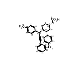 O=C(O)C[C@H]1CCN([C@@H](C#Cc2ccccc2)c2ccc(C(F)(F)F)cc2)[C@@H](C2C=CC(C(F)(F)F)=CC2)C1